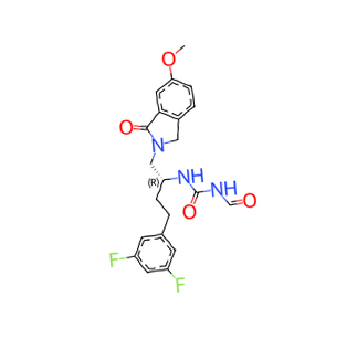 COc1ccc2c(c1)C(=O)N(C[C@@H](CCc1cc(F)cc(F)c1)NC(=O)NC=O)C2